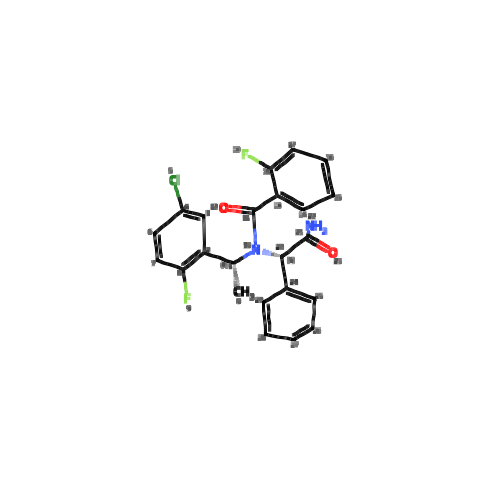 C[C@H](c1cc(Cl)ccc1F)N(C(=O)c1ccccc1F)[C@H](C(N)=O)c1ccccc1